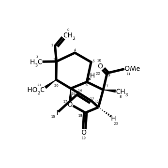 C=CC1(C)CC[C@H]2[C@](C)(C(=O)OC)[C@@H]3C=C(I)[C@]2(OC3=O)[C@H]1C(=O)O